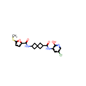 CSc1ccc(C(=O)NC2CC3(C2)CC(C(=O)Nc2cc(Cl)cnc2O)C3)o1